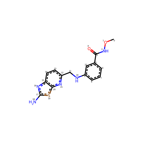 CONC(=O)c1cccc(NCc2ccc3nc(N)sc3n2)c1